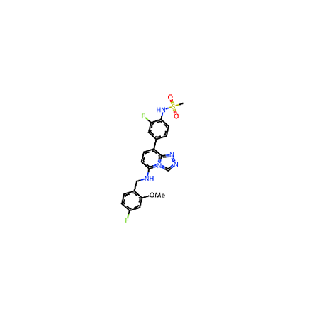 COc1cc(F)ccc1CNc1ccc(-c2ccc(NS(C)(=O)=O)c(F)c2)c2nncn12